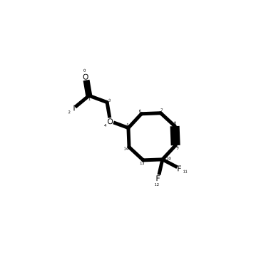 O=C(I)COC1CCC#CC(F)(F)CC1